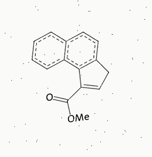 COC(=O)C1=CCc2ccc3ccccc3c21